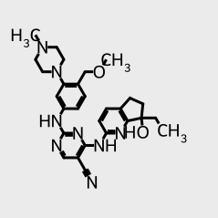 CCC1(O)CCc2ccc(Nc3nc(Nc4ccc(COC)c(N5CCN(C)CC5)c4)ncc3C#N)nc21